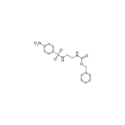 O=C(NCCNS(=O)(=O)c1ccc([N+](=O)[O-])cc1)OCc1ccccc1